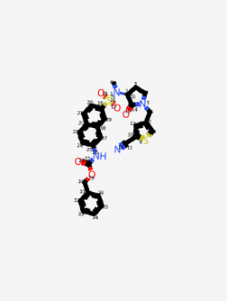 CN([C@H]1CCN(Cc2csc(C#N)c2)C1=O)S(=O)(=O)c1ccc2ccc(NC(=O)OCc3ccccc3)cc2c1